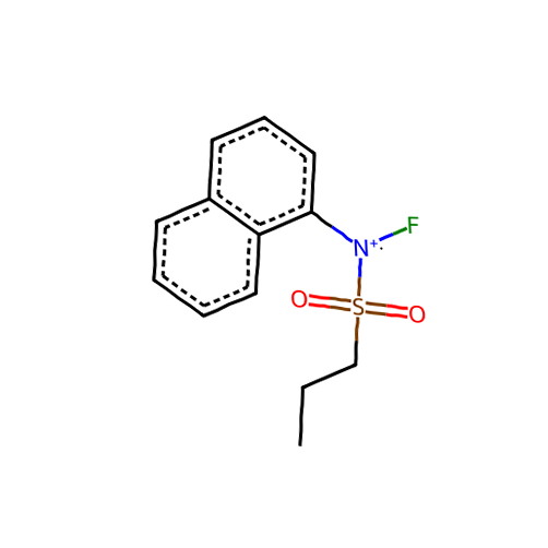 CCCS(=O)(=O)[N+](F)c1cccc2ccccc12